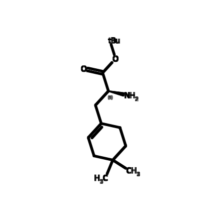 CC1(C)CC=C(C[C@H](N)C(=O)OC(C)(C)C)CC1